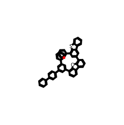 c1ccc(-c2ccc(-c3cc(-c4ccccc4)cc(-c4cccc5c4oc4c(-c6cc(-c7ccccc7)c7sc8ccccc8c7c6)cccc45)c3)cc2)cc1